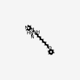 N#CNC(=Nc1ccncc1)NCCCCCCCCCCCOc1ccccc1